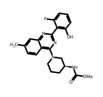 COC(=O)N[C@H]1CCCN(c2nc(-c3c(O)cccc3F)nc3cc(C)ccc23)C1